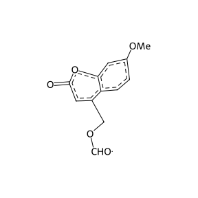 COc1ccc2c(CO[C]=O)cc(=O)oc2c1